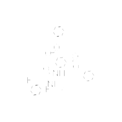 NC(Cc1c(F)cccc1F)C(=O)Nc1cc(C(=O)OCc2ccccc2)cc(C(=O)OCc2ccccc2)c1